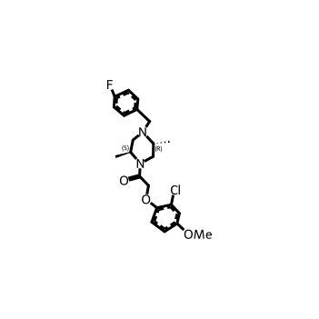 COc1ccc(OCC(=O)N2C[C@@H](C)N(Cc3ccc(F)cc3)C[C@@H]2C)c(Cl)c1